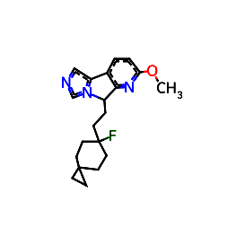 COc1ccc2c(n1)C(CCC1(F)CCC3(CC1)CC3)n1cncc1-2